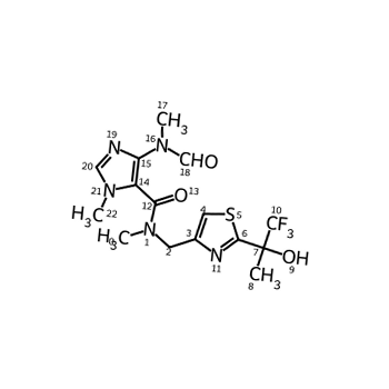 CN(Cc1csc(C(C)(O)C(F)(F)F)n1)C(=O)c1c(N(C)C=O)ncn1C